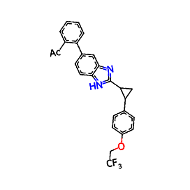 CC(=O)c1ccccc1-c1ccc2[nH]c(C3CC3c3ccc(OCC(F)(F)F)cc3)nc2c1